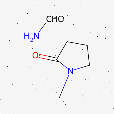 CN1CCCC1=O.NC=O